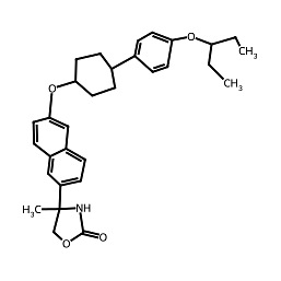 CCC(CC)Oc1ccc(C2CCC(Oc3ccc4cc(C5(C)COC(=O)N5)ccc4c3)CC2)cc1